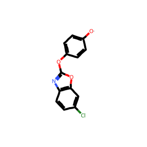 [O]c1ccc(Oc2nc3ccc(Cl)cc3o2)cc1